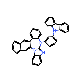 c1cc(N2c3ccccc3-c3cc4ccccc4cc3-n3c2nc2ccccc23)cc(-n2c3ccccc3c3ccccc32)c1